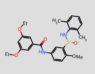 CCOc1cc(OCC)cc(C(=O)Nc2ccc(OC)c([S+]([O-])Nc3c(C)cccc3C)c2)c1